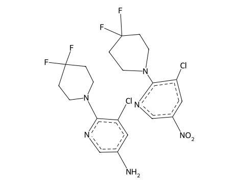 Nc1cnc(N2CCC(F)(F)CC2)c(Cl)c1.O=[N+]([O-])c1cnc(N2CCC(F)(F)CC2)c(Cl)c1